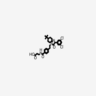 CC(C)(C)C1CCC2(CC1)N=C(c1cc(Cl)cc(Cl)c1)C(=O)N2CCc1ccc(C(=O)NCCC(=O)O)cc1